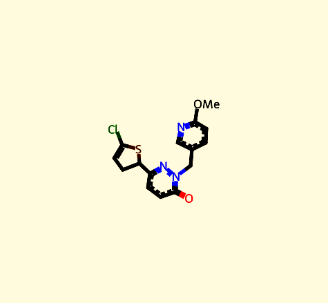 COc1ccc(Cn2nc(C3CC=C(Cl)S3)ccc2=O)cn1